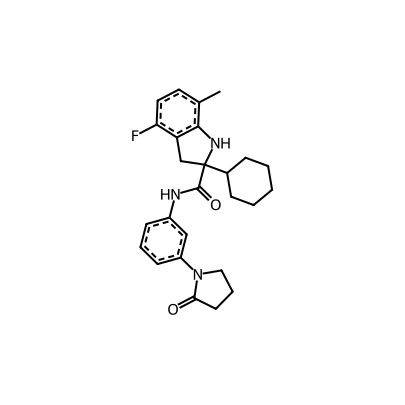 Cc1ccc(F)c2c1NC(C(=O)Nc1cccc(N3CCCC3=O)c1)(C1CCCCC1)C2